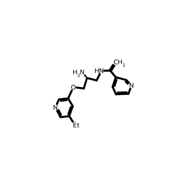 C=C(NC[C@H](N)COc1cncc(CC)c1)c1cccnc1